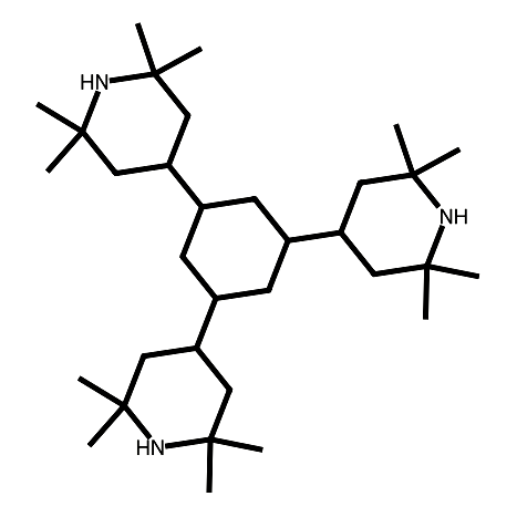 CC1(C)CC(C2CC(C3CC(C)(C)NC(C)(C)C3)CC(C3CC(C)(C)NC(C)(C)C3)C2)CC(C)(C)N1